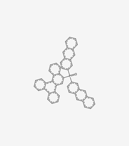 O=P(c1ccc2cc3ccccc3cc2c1)(c1ccc2cc3ccccc3cc2c1)c1cc2c3ccccc3c3ccccc3c2c2ccccc12